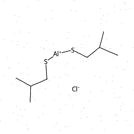 CC(C)C[S][Al+][S]CC(C)C.[Cl-]